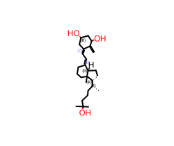 C=C1/C(=C\C=C2/CCCC3(C)[C@@H]([C@H](C)CCCC(C)(C)O)CC[C@@H]23)C[C@@H](O)CC1O